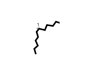 CCCCCC[C@H](C)CCCCI